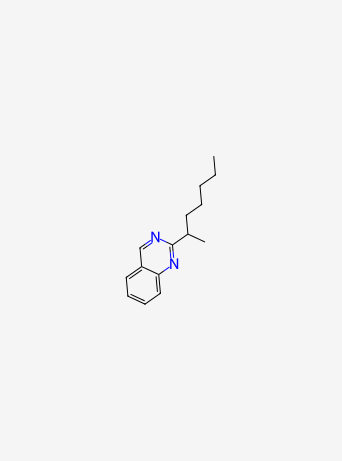 CCCCCC(C)c1ncc2ccccc2n1